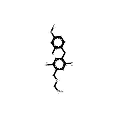 CCOc1ccc(Cc2cc(Br)c(COCOC)cc2Cl)c(C)c1